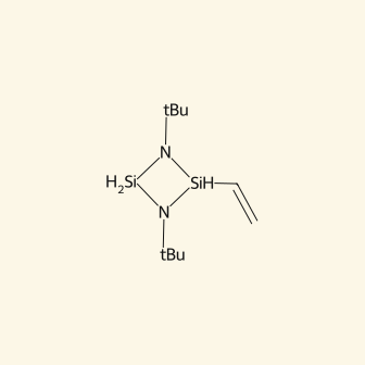 C=C[SiH]1N(C(C)(C)C)[SiH2]N1C(C)(C)C